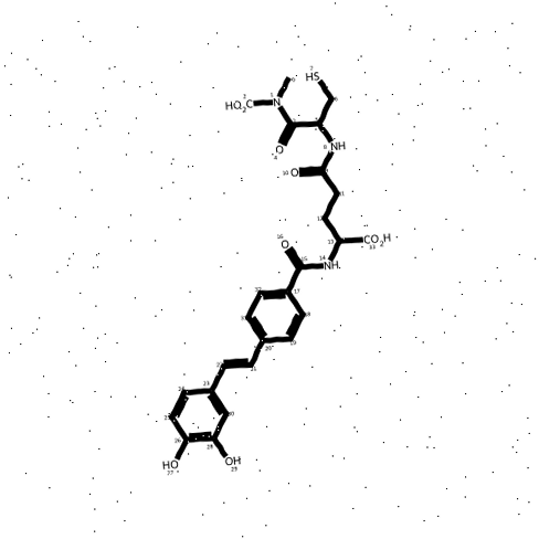 CN(C(=O)O)C(=O)C(CS)NC(=O)CCC(NC(=O)c1ccc(C=Cc2ccc(O)c(O)c2)cc1)C(=O)O